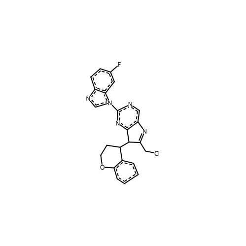 Fc1ccc2ncn(-c3ncc4c(n3)C(C3CCOc5ccccc53)C(CCl)=N4)c2c1